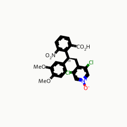 COc1ccc([C@H](Cc2c(Cl)c[n+]([O-])cc2Cl)c2c(C(=O)O)cccc2[N+](=O)[O-])cc1OC